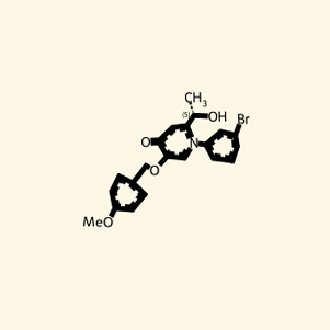 COc1ccc(COc2cn(-c3cccc(Br)c3)c([C@H](C)O)cc2=O)cc1